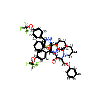 O=C(C(COc1ccccc1)N1CCCC[C@@H]1c1nc(-c2ccc(OC(F)(F)F)cc2)cs1)C(COc1ccccc1)N1CCCC[C@@H]1c1nc(-c2ccc(OC(F)(F)F)cc2)cs1